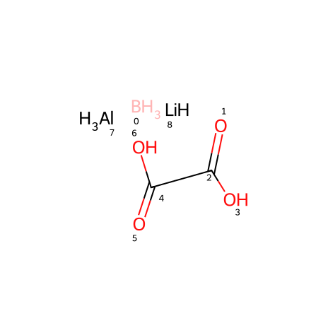 B.O=C(O)C(=O)O.[AlH3].[LiH]